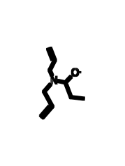 C=CCN(CC=C)C([O])CC